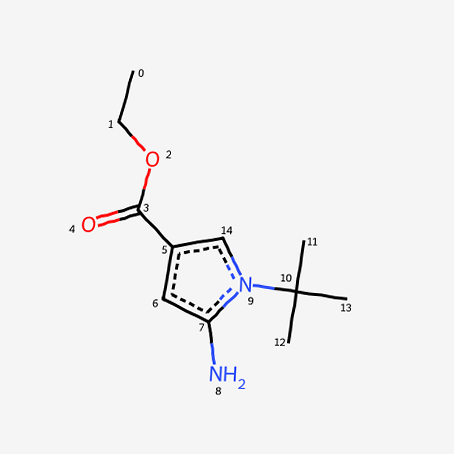 CCOC(=O)c1cc(N)n(C(C)(C)C)c1